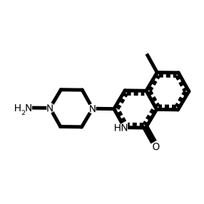 Cc1cccc2c(=O)[nH]c(N3CCN(N)CC3)cc12